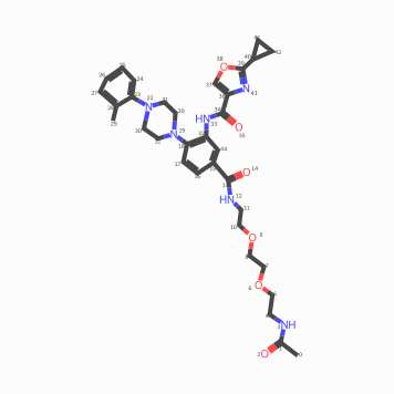 CC(=O)NCCOCCOCCNC(=O)c1ccc(N2CCN(c3ccccc3C)CC2)c(NC(=O)c2coc(C3CC3)n2)c1